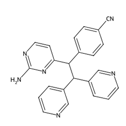 N#Cc1ccc(C(c2ccnc(N)n2)C(c2cccnc2)c2cccnc2)cc1